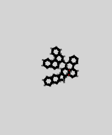 c1ccc(-c2ccccc2N(c2ccc3oc4cc5ccccc5cc4c3c2)c2cc3ccccc3c3c2ccc2ccccc23)cc1